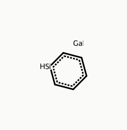 [Ga].c1cc[siH]cc1